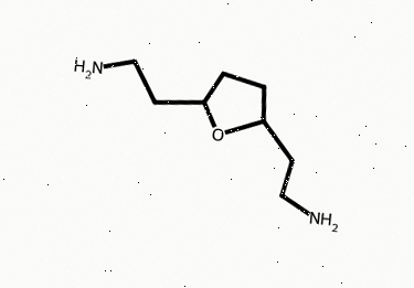 NCCC1CCC(CCN)O1